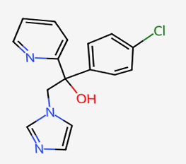 OC(Cn1ccnc1)(c1ccc(Cl)cc1)c1ccccn1